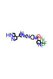 O=C(c1ccnc(C(F)(F)F)c1F)N1CCC(N2C[C](n3cc(-c4ccnc5[nH]ccc45)cn3)C2)CC1